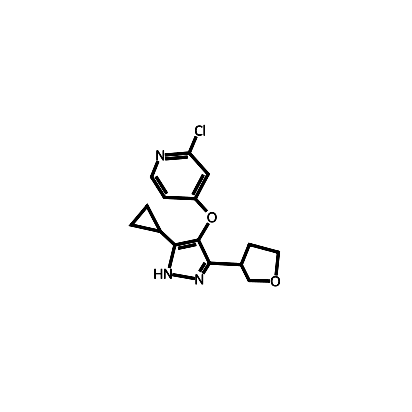 Clc1cc(Oc2c(C3CCOC3)n[nH]c2C2CC2)ccn1